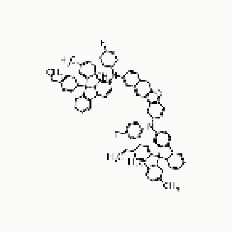 C=CC1=CCC(C2(C3=CC(C)=CCC3C)C3=C(C=CCC3)C3C=CC(N(C4=CC5=Cc6c(oc7c6CC(N(c6ccc(F)cc6)c6ccc8c(c6)C(C6=CCC(C=C)C=C6)(C6CC(C)=CC=C6C)C6C=CC=CC86)C=C7)CC5C=C4)C4CC=C(F)CC4)=CC32)C=C1